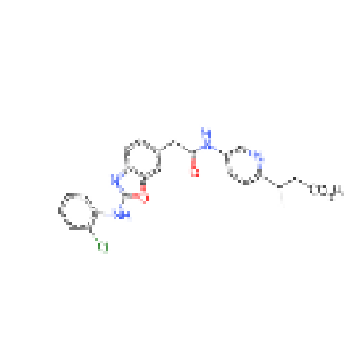 C[C@@H](CC(=O)O)c1ccc(NC(=O)Cc2ccc3nc(Nc4ccccc4Cl)oc3c2)cn1